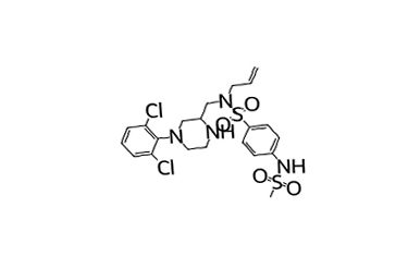 C=CCN(CC1CN(c2c(Cl)cccc2Cl)CCN1)S(=O)(=O)c1ccc(NS(C)(=O)=O)cc1